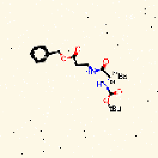 CC[C@H](C)[C@H](NC(=O)OC(C)(C)C)C(=O)NCCC(=O)OCc1ccccc1